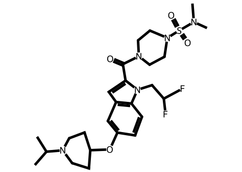 CC(C)N1CCC(Oc2ccc3c(c2)cc(C(=O)N2CCN(S(=O)(=O)N(C)C)CC2)n3CC(F)F)CC1